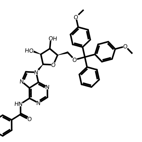 COc1ccc(C(OC[C@H]2O[C@@H](n3cnc4c(NC(=O)c5ccccc5)ncnc43)[C@@H](O)C2O)(c2ccccc2)c2ccc(OC)cc2)cc1